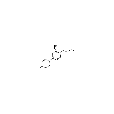 CCCCc1ccc(C2C=CC(C)CC2)cc1F